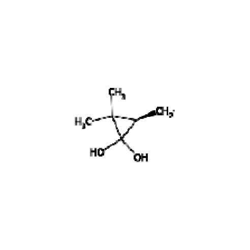 [CH2][C@@H]1C(C)(C)C1(O)O